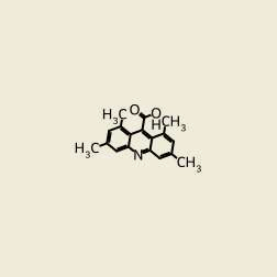 Cc1cc(C)c2c(C(=O)O)c3c(C)cc(C)cc3nc2c1